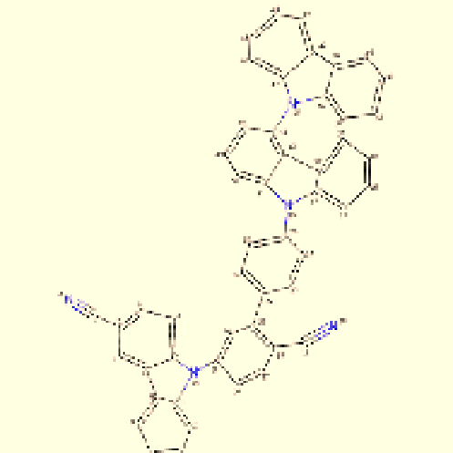 N#Cc1ccc2c(c1)c1ccccc1n2-c1ccc(C#N)c(-c2ccc(-n3c4ccccc4c4c(-n5c6ccccc6c6ccccc65)cccc43)cc2)c1